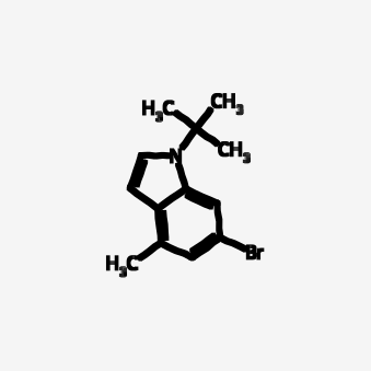 Cc1cc(Br)cc2c1ccn2C(C)(C)C